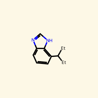 CCC(CC)c1cccc2nc[nH]c12